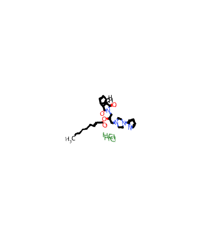 CCCCCC/C=C/C(=O)OC(CN1CCN(c2ccccn2)CC1)CN1C(=O)C2C3C=C[C@@H](C3)[C@@H]2C1=O.Cl.Cl